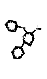 CNc1ccc(-c2ccccc2)nc1Nc1ccccc1